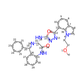 COCCn1ccc2cccc(-c3nnc(N[C@H]4N=C(c5ccccc5)c5ccccc5NC4=O)o3)c21